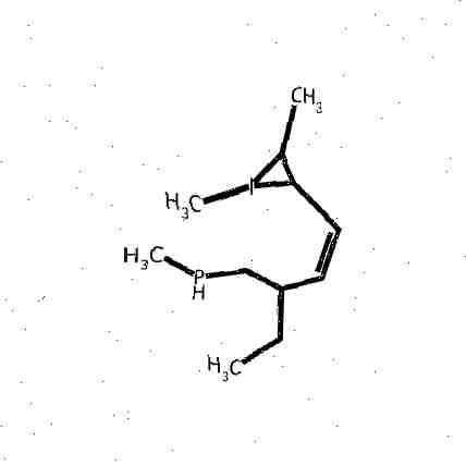 CCC(/C=C\C1C(C)I1C)CPC